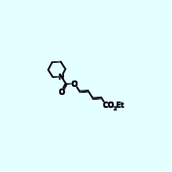 CCOC(=O)C=CC=COC(=O)N1CCCCC1